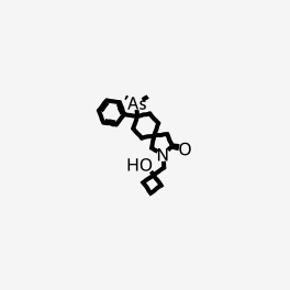 C[As](C)C1(c2ccccc2)CCC2(CC1)CC(=O)N(CC1(O)CCC1)C2